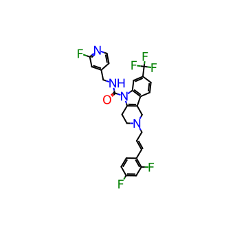 O=C(NCc1ccnc(F)c1)n1c2c(c3ccc(C(F)(F)F)cc31)CN(CC=Cc1ccc(F)cc1F)CC2